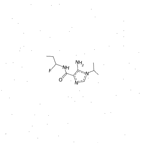 CCC(F)NC(=O)c1ncn(C(C)C)c1N